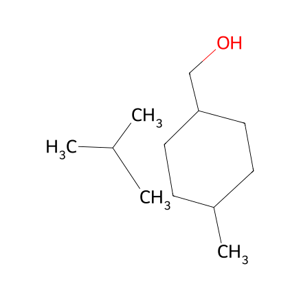 CC(C)C.CC1CCC(CO)CC1